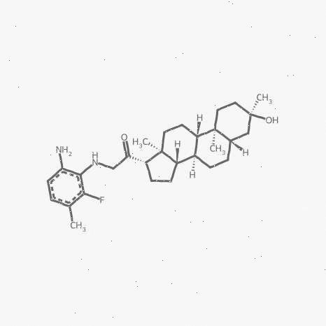 Cc1ccc(N)c(NCC(=O)[C@H]2CC[C@H]3[C@@H]4CC[C@H]5C[C@](C)(O)CC[C@]5(C)[C@H]4CC[C@]23C)c1F